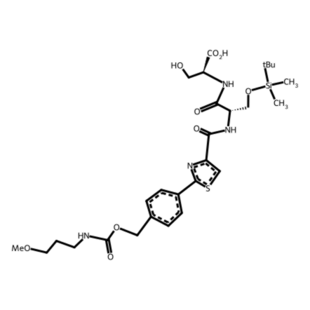 COCCCNC(=O)OCc1ccc(-c2nc(C(=O)N[C@@H](CO[Si](C)(C)C(C)(C)C)C(=O)N[C@@H](CO)C(=O)O)cs2)cc1